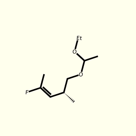 CCOC(C)OC[C@H](C)/C=C(\C)F